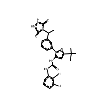 CC(c1cccc(-n2nc(C(C)(C)C)cc2NC(=O)Nc2cccc(Cl)c2Cl)c1)n1c(=O)[nH][nH]c1=O